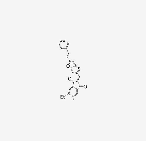 CCc1cc2c(cc1C)C(=O)/C(=C/c1cc3oc(/C=C/c4ccccc4)cc3s1)C2=O